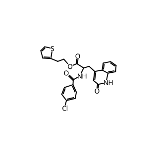 O=C(NC(Cc1cc(=O)[nH]c2ccccc12)C(=O)OCCc1cccs1)c1ccc(Cl)cc1